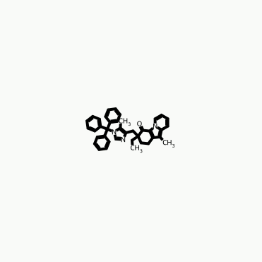 CCC1(Cc2ncn(C(c3ccccc3)(c3ccccc3)c3ccccc3)c2C)CCc2c(C)c3ccccn3c2C1=O